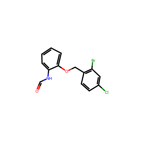 O=CNc1ccccc1OCc1ccc(Cl)cc1Br